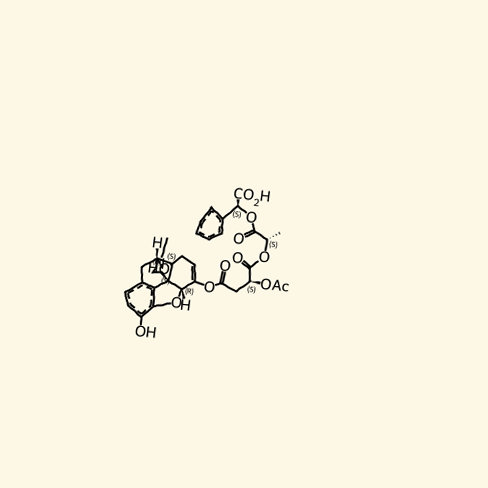 CC(=O)O[C@@H](CC(=O)OC1=CC[C@@]2(O)[C@H]3Cc4ccc(O)c5c4[C@@]2(CCN3C)[C@H]1O5)C(=O)O[C@@H](C)C(=O)O[C@H](C(=O)O)c1ccccc1